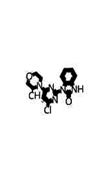 C[C@@H]1COCCN1c1cc(Cl)nc(-n2c(=O)[nH]c3ccccc32)n1